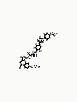 COc1ccc2c(c1)N1C(=CC2C)CS/C1=N\C(=S)N/N=C/c1ccc(-c2ncn(-c3ccc(OC(F)(F)F)cc3)n2)cc1